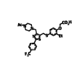 CCc1cc(SCc2sc(-c3ccc(C(F)(F)F)cc3)nc2CN2CCN(C(C)=O)CC2)ccc1OCC(=O)O